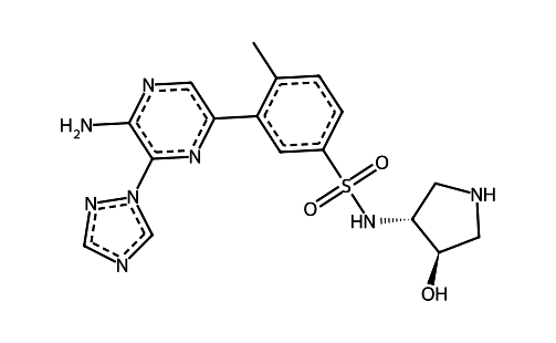 Cc1ccc(S(=O)(=O)N[C@@H]2CNC[C@H]2O)cc1-c1cnc(N)c(-n2cncn2)n1